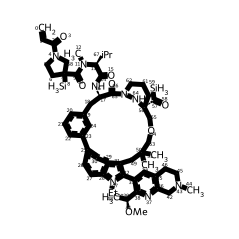 C=CC(=O)N1CCC([SiH3])(C(=O)N(C)[C@H](C(=O)N[C@H]2Cc3cccc(c3)-c3ccc4c(c3)c(c(-c3cc5c(nc3[C@H](C)OC)CN(C)CC5)n4CC)CC(C)(C)COC[C@]3(C(=O)[SiH3])CCCN(N3)C2=O)C(C)C)C1